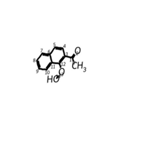 CC(=O)c1ccc2ccccc2c1OO